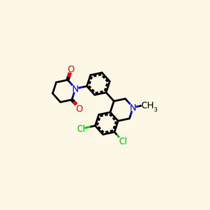 CN1Cc2c(Cl)cc(Cl)cc2C(c2cccc(N3C(=O)CCCC3=O)c2)C1